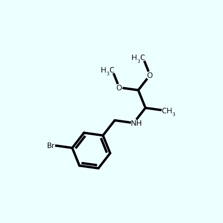 COC(OC)C(C)NCc1cccc(Br)c1